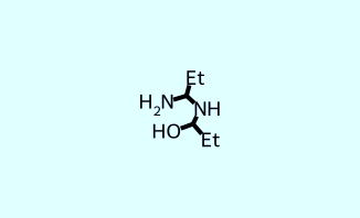 CCC(N)NC(O)CC